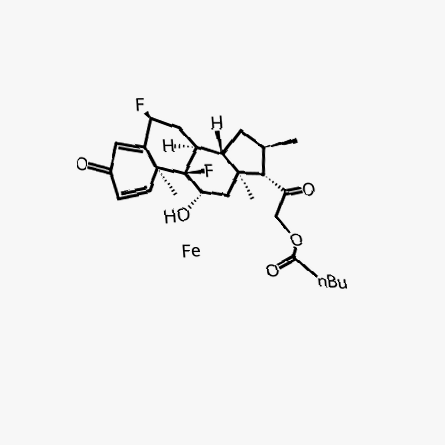 CCCCC(=O)OCC(=O)[C@H]1[C@H](C)C[C@H]2[C@@H]3C[C@H](F)C4=CC(=O)C=C[C@]4(C)[C@@]3(F)[C@@H](O)C[C@@]21C.[Fe]